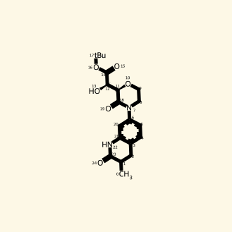 CC1Cc2ccc(N3CCO[C@H]([C@@H](O)C(=O)OC(C)(C)C)C3=O)cc2NC1=O